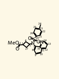 COC(=O)C1CC(N(c2cccc3cccnc23)S(=O)(=O)c2ccc(C)cc2)C1